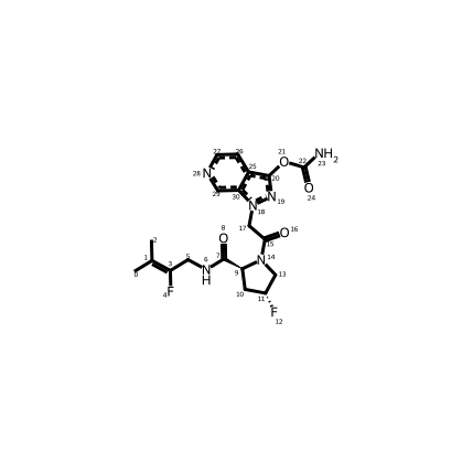 CC(C)=C(F)CNC(=O)[C@@H]1C[C@@H](F)CN1C(=O)Cn1nc(OC(N)=O)c2ccncc21